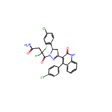 NC(=O)CC(F)(F)C(=O)N1N=C(c2c(-c3ccc(Cl)cc3)c3ccccc3[nH]c2=O)CC1c1ccc(Cl)cc1